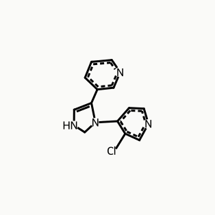 Clc1cnccc1N1CNC=C1c1cccnc1